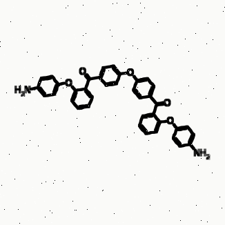 Nc1ccc(Oc2ccccc2C(=O)c2ccc(Oc3ccc(C(=O)c4ccccc4Oc4ccc(N)cc4)cc3)cc2)cc1